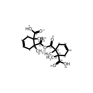 CC1(C(=O)O)CC=CCC1(C)C(=O)OC(=O)C1(C)CC=CCC1(C)C(=O)O